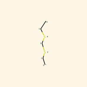 [CH2]CSCSC[CH2]